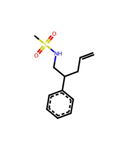 C=CCC(CNS(C)(=O)=O)c1ccccc1